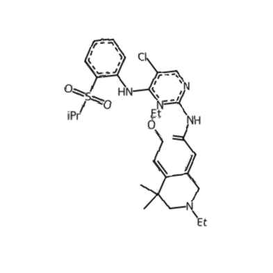 C=C(/C=C1/CN(CC)CC(C)(C)/C1=C/COCC)Nc1ncc(Cl)c(Nc2ccccc2S(=O)(=O)C(C)C)n1